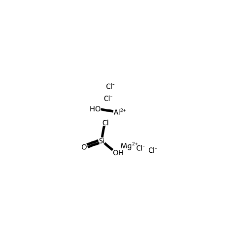 O=[Si](O)Cl.[Cl-].[Cl-].[Cl-].[Cl-].[Mg+2].[OH][Al+2]